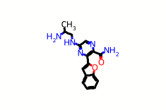 CC(N)CNc1cnc(C(N)=O)c(-c2cc3ccccc3o2)n1